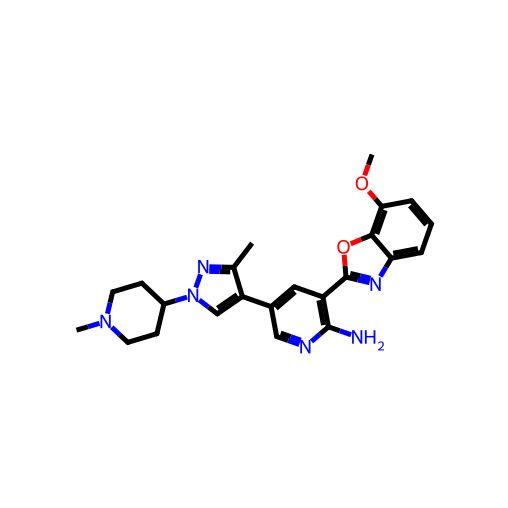 COc1cccc2nc(-c3cc(-c4cn(C5CCN(C)CC5)nc4C)cnc3N)oc12